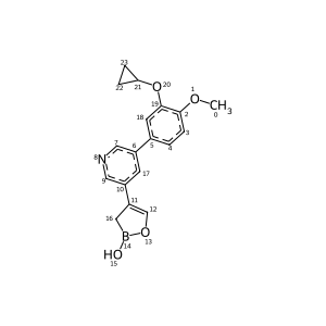 COc1ccc(-c2cncc(C3=COB(O)C3)c2)cc1OC1CC1